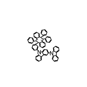 c1ccc(S2(c3ccccc3)c3ccccc3S(c3ccccc3)(c3cccc(-n4c5ccccc5c5cc(-n6c7ccccc7c7ccccc76)ccc54)c3)c3ccccc32)cc1